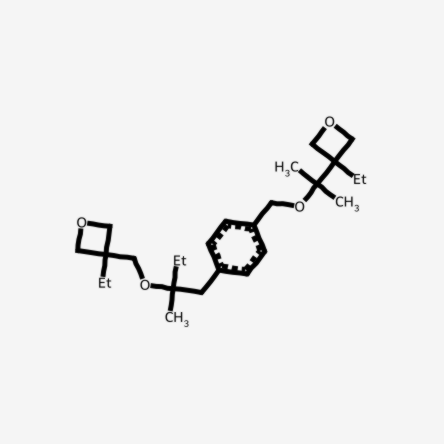 CCC1(COC(C)(CC)Cc2ccc(COC(C)(C)C3(CC)COC3)cc2)COC1